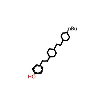 CCCCC1CCC(CCC2CCC(CCc3ccc(O)cc3)CC2)CC1